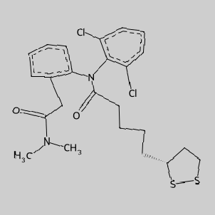 CN(C)C(=O)Cc1ccccc1N(C(=O)CCCC[C@@H]1CCSS1)c1c(Cl)cccc1Cl